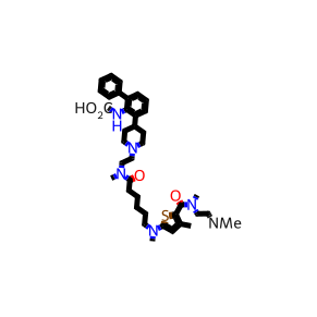 CNCCN(C)C(=O)c1sc(N(C)CCCCCC(=O)N(C)CCN2CCC(c3cccc(-c4ccccc4)c3NC(=O)O)CC2)cc1C